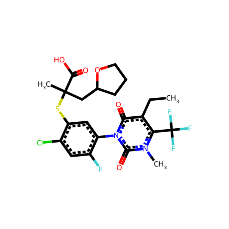 CCc1c(C(F)(F)F)n(C)c(=O)n(-c2cc(SC(C)(CC3CCCO3)C(=O)O)c(Cl)cc2F)c1=O